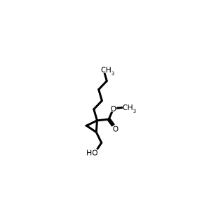 CCCCCC1(C(=O)OC)CC1CO